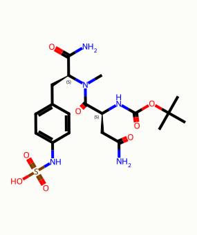 CN(C(=O)[C@H](CC(N)=O)NC(=O)OC(C)(C)C)[C@@H](Cc1ccc(NS(=O)(=O)O)cc1)C(N)=O